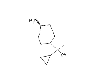 CC(O)(C1CC1)[C@H]1CC[C@H](N)CC1